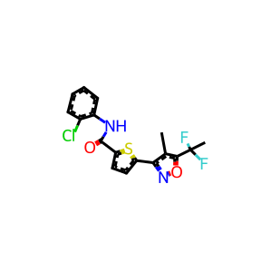 Cc1c(-c2ccc(C(=O)Nc3ccccc3Cl)s2)noc1C(C)(F)F